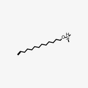 C=CCCCCCCCCCCCO[SiH](C)C